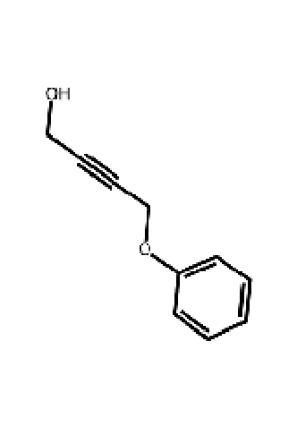 OCC#CCOc1ccccc1